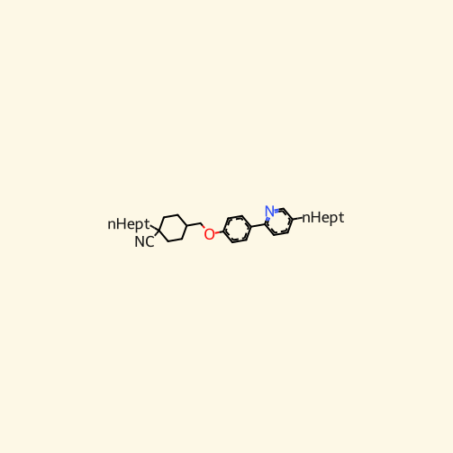 CCCCCCCc1ccc(-c2ccc(OCC3CCC(C#N)(CCCCCCC)CC3)cc2)nc1